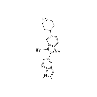 CC(C)c1c(-c2cnc3c(cnn3C)c2)[nH]c2ccc(C3CCNCC3)cc12